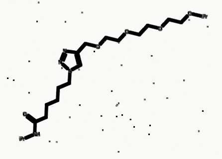 CC(C)NC(=O)CCCCCn1cc(COCCOCCOCCOC(C)C)nn1